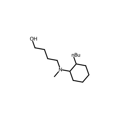 CCCCC1CCCCC1N(C)CCCCO